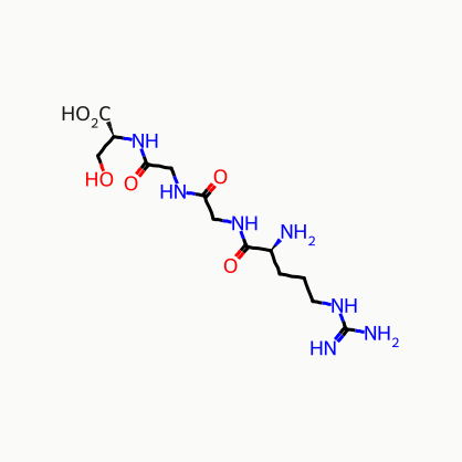 N=C(N)NCCC[C@H](N)C(=O)NCC(=O)NCC(=O)N[C@@H](CO)C(=O)O